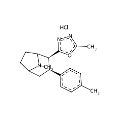 Cc1ccc([C@H]2CC3CCC([C@H]2c2nnc(C)o2)N3C)cc1.Cl